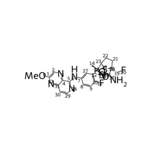 COc1cnc2c(Nc3ccc(F)c([C@@]4(C)N=C(N)[C@]5(CF)CCC4S5(=O)=O)c3)nccc2n1